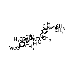 COc1cc(C)c(S(=O)(=O)N(C)CC(=O)NCC(=O)N(C)Cc2ccc(NCCN(C)C)c(Cl)c2)c(C)c1